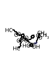 C#CCCCC(=O)OCc1cccc(OC(=O)O[C@@H](CCc2ccccc2)CC[C@@H]2[C@@H](C/C=C\CCCC(=O)OC(C)C)[C@@H](O)C[C@H]2O)c1COC(=O)CCCC#C